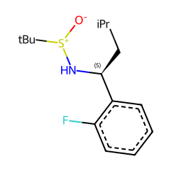 CC(C)C[C@H](N[S+]([O-])C(C)(C)C)c1ccccc1F